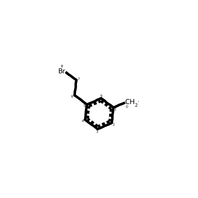 [CH2]c1cccc(CCBr)c1